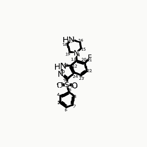 O=S(=O)(c1ccccc1)c1n[nH]c2c(N3CCNCC3)c(F)ccc12